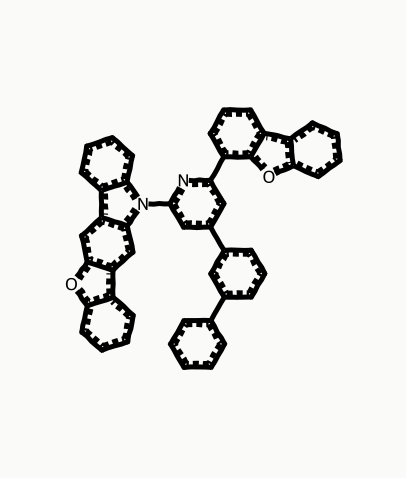 c1ccc(-c2cccc(-c3cc(-c4cccc5c4oc4ccccc45)nc(-n4c5ccccc5c5cc6oc7ccccc7c6cc54)c3)c2)cc1